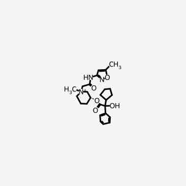 Cc1cc(NC(=O)C[N+]2(C)CCC[C@@H](OC(=O)C(O)(c3ccccc3)C3CCCC3)C2)no1